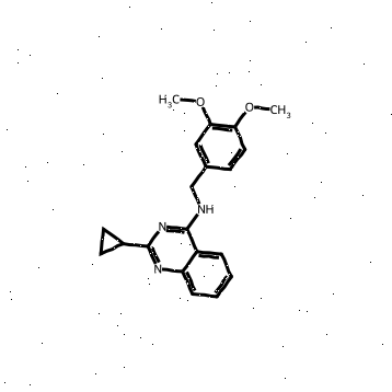 COc1ccc(CNc2nc(C3CC3)nc3ccccc23)cc1OC